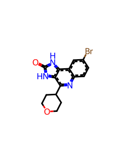 O=c1[nH]c2c(C3CCOCC3)nc3ccc(Br)cc3c2[nH]1